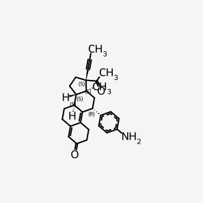 CC#C[C@]1(C(C)=O)CC[C@H]2[C@@H]3CCC4=CC(=O)CCC4=C3[C@@H](c3ccc(N)cc3)C[C@@]21C